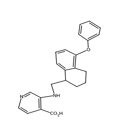 O=C(O)c1ccncc1NCC1CCCc2c(Oc3ccccc3)cccc21